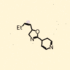 CC/C=C\C1CN=C(C2C=CN=CC2)O1